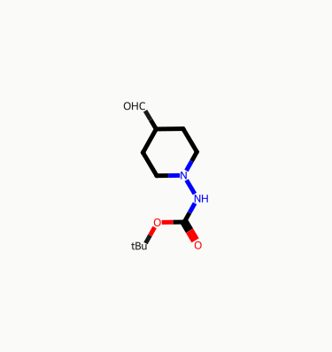 CC(C)(C)OC(=O)NN1CCC(C=O)CC1